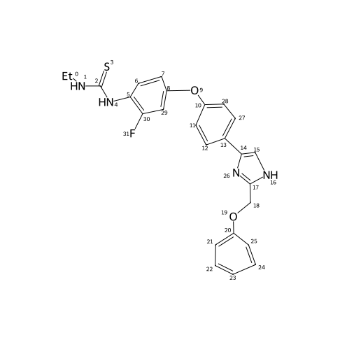 CCNC(=S)Nc1ccc(Oc2ccc(-c3c[nH]c(COc4ccccc4)n3)cc2)cc1F